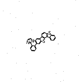 c1ccc2c(c1)sc1ccc3c4cc5c(cc4sc3c12)c1ccccc1c1nccn51